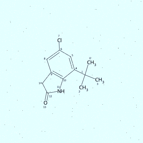 CC(C)(C)c1cc(Cl)cc2c1NC(=O)C2